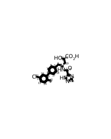 O=C(NN(Cc1ccc(-c2cc(Cl)ccc2F)cc1)C[C@@H](O)C(=O)O)c1nnn[nH]1